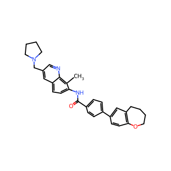 Cc1c(NC(=O)c2ccc(-c3ccc4c(c3)CCCCO4)cc2)ccc2cc(CN3CCCC3)cnc12